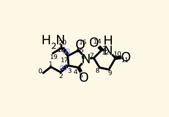 CC/C=C1/C(=O)N(C2CCC(=O)NC2=O)C(=O)/C1=C(/C)N